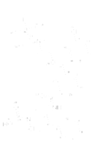 CN(C[C@@H](CC1CCCCC1)NC(=O)c1cccc(C(OCCNC(=O)C(F)(F)F)c2cccc(Cl)c2)c1)C(=O)O